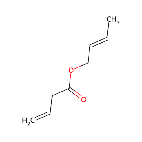 C=CCC(=O)OC/C=C/C